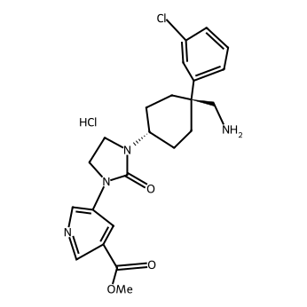 COC(=O)c1cncc(N2CCN([C@H]3CC[C@@](CN)(c4cccc(Cl)c4)CC3)C2=O)c1.Cl